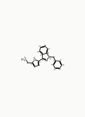 CCc1ccc(-c2nn(Cc3ccccc3)c3ccccc23)o1